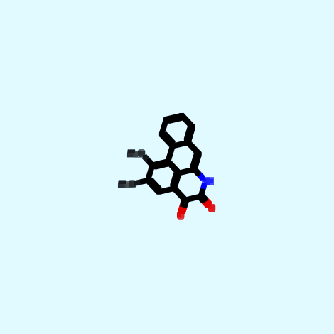 COc1cc2c3c(cc4ccccc4c3c1OC)NC(=O)C2=O